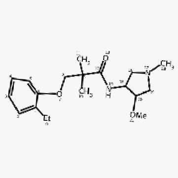 CCc1ccccc1OCC(C)(C)C(=O)NC1CN(C)CC1OC